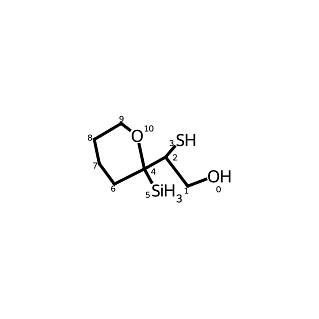 OCC(S)C1([SiH3])CCCCO1